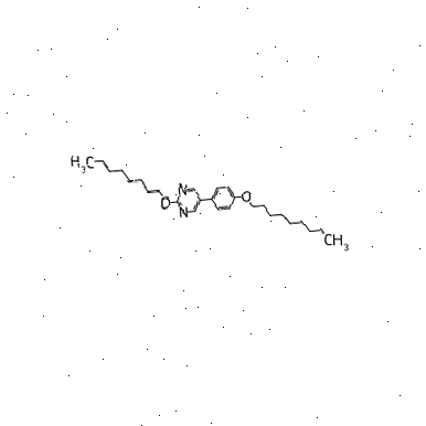 CCCCCCCCCOc1ccc(-c2cnc(OCCCCCCCC)nc2)cc1